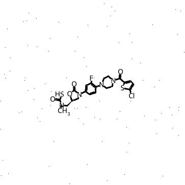 CN(C[C@@H]1CN(c2ccc(N3CCN(C(=O)c4ccc(Cl)s4)CC3)c(F)c2)C(=O)O1)C(=O)S